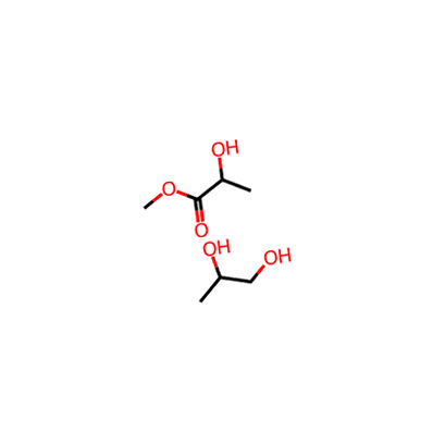 CC(O)CO.COC(=O)C(C)O